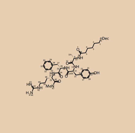 CCCCCCCCCCCCCCCC(=O)N[C@@H](C)C(=O)N[C@@H](Cc1ccc(O)cc1)C(=O)N[C@@H](Cc1ccccc1)C(=O)N[C@@H](CCCNC(=N)N)C(=O)NC